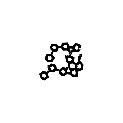 N#Cc1ccccc1-c1cc(-n2c3ccccc3c3ccc(-c4ccnc(-c5ccccc5)c4)cc32)ncc1-n1c2ccccc2c2ccc(-c3ccnc(-c4ccccc4)c3)cc21